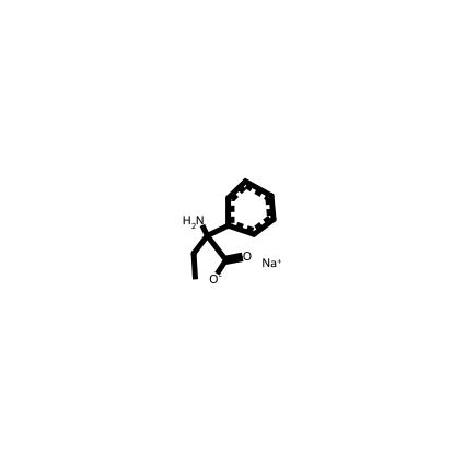 CCC(N)(C(=O)[O-])c1ccccc1.[Na+]